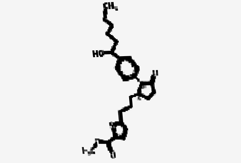 CCCCCC(O)c1ccc([C@@H]2C(=O)CC[C@H]2CCCc2ccc(C(=O)OC)s2)cc1